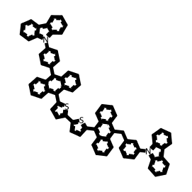 c1cc(Cc2c3ccccc3c(-c3ccc(-c4ccc(-c5c6ccccc6c(-c6ccc(-n7c8ccccc8c8ccccc87)cc6)c6ccccc56)s4)s3)c3ccccc23)cc(-n2c3ccccc3c3ccccc32)c1